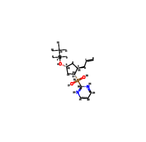 C=CC[C@@H]1C[C@@H](O[Si](C)(C)C(C)(C)C)C[C@H]1S(=O)(=O)c1ncccn1